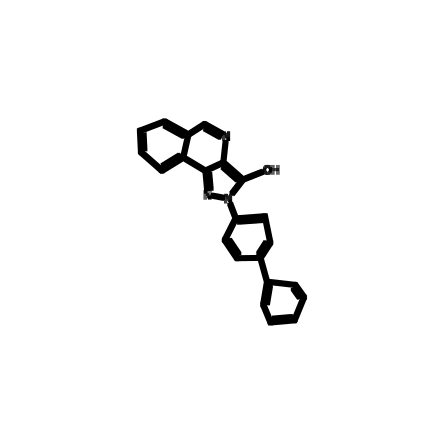 Oc1c2ncc3ccccc3c2nn1-c1ccc(-c2ccccc2)cc1